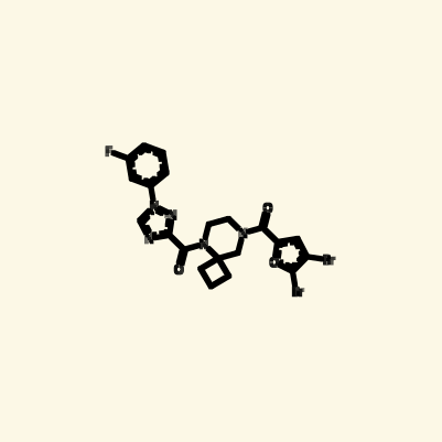 O=C(c1cc(Br)c(Br)o1)N1CCN(C(=O)c2ncn(-c3cccc(F)c3)n2)C2(CCC2)C1